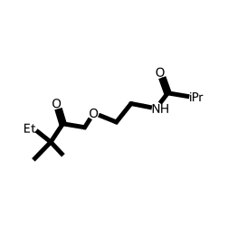 CCC(C)(C)C(=O)COCCNC(=O)C(C)C